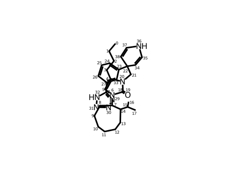 CCCCc1cn(C2CCCCCCC2C(C)C)c(=O)n1CC1(c2cccc(-c3nnn[nH]3)c2)C=CNC=C1